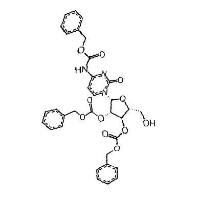 O=C(Nc1ccn([C@@H]2O[C@H](CO)[C@@H](OC(=O)OCc3ccccc3)[C@@H]2OC(=O)OCc2ccccc2)c(=O)n1)OCc1ccccc1